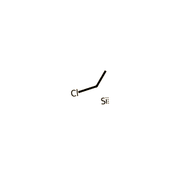 CCCl.[Si]